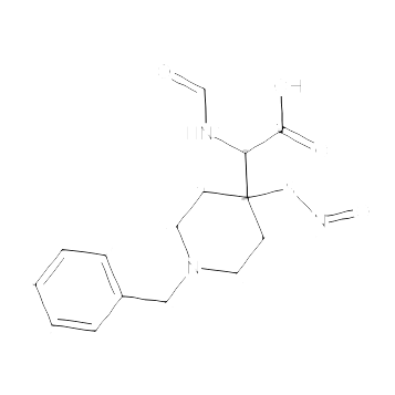 O=CNC(C(=O)O)C1(SN=O)CCN(Cc2ccccc2)CC1